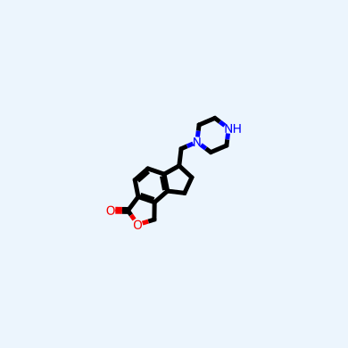 O=C1OCc2c1ccc1c2CCC1CN1CCNCC1